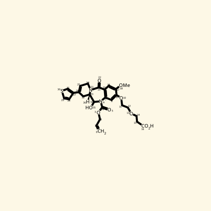 C=CCOC(=O)N1c2cc(OCCOCCC(=O)O)c(OC)cc2C(=O)N2CC=C(c3ccsc3)C[C@H]2C1O